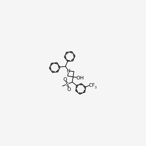 CS(=O)(=O)C(c1cccc(C(F)(F)F)c1)C1(O)CN(C(c2ccccc2)c2ccccc2)C1